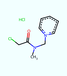 CN(C[n+]1ccccc1)C(=O)CCl.Cl